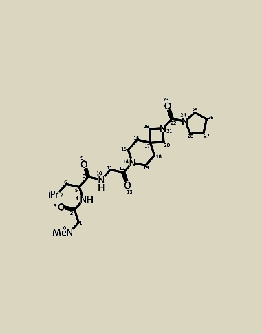 CNCC(=O)NC(CC(C)C)C(=O)NCC(=O)N1CCC2(CC1)CN(C(=O)N1CCCC1)C2